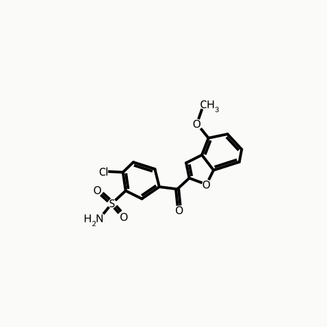 COc1cccc2oc(C(=O)c3ccc(Cl)c(S(N)(=O)=O)c3)cc12